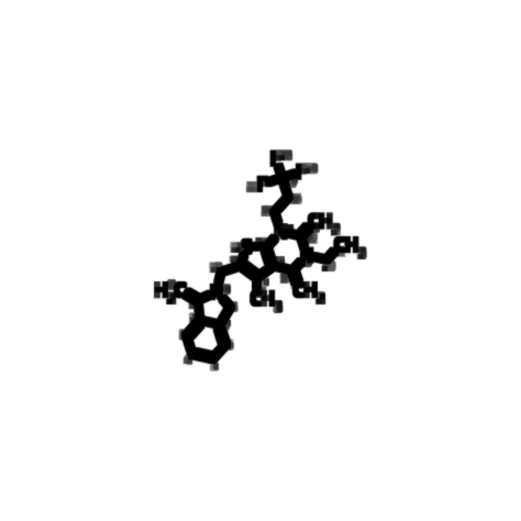 C=C1c2ccccc2CN1Cc1sc2c(c1C)C(=C)N(CC)C(=C)N2CCC(F)(F)F